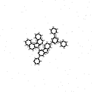 c1ccc(-c2cc(-n3c4ccc5ccccc5c4c4c5ccccc5ccc43)c3c(c2)oc2cc(-c4nc(-c5ccccc5)nc(-c5ccccc5)n4)ccc23)cc1